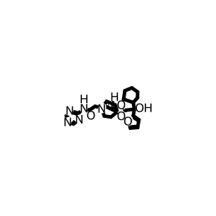 O=C(C[N+]12CCC(CC1)[C@@H](OC(=O)C(O)(c1ccco1)C1CCCCC1)C2)Nc1ncncn1